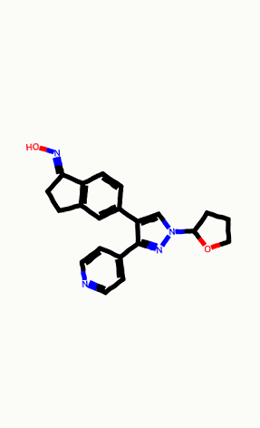 O/N=C1\CCc2cc(-c3cn(C4CCCO4)nc3-c3ccncc3)ccc21